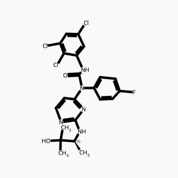 C[C@H](Nc1nccc(N(C(=O)Nc2cc(Cl)cc(Cl)c2Cl)c2ccc(F)cc2)n1)C(C)(C)O